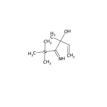 C=CC(C)(O)C(=N)[Si](C)(C)C